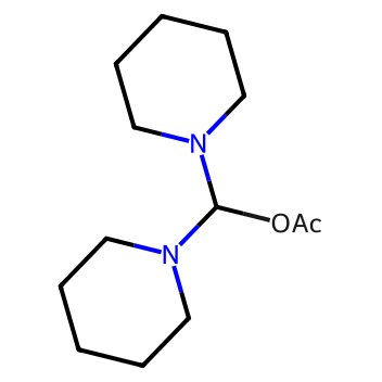 CC(=O)OC(N1CCCCC1)N1CCCCC1